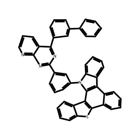 c1ccc(-c2cccc(-c3nc(-c4cccc(-n5c6ccccc6c6c7ccccc7c7sc8ccccc8c7c65)c4)nc4ncccc34)c2)cc1